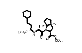 CCCCCCCCOC(=O)[C@@H]1C[C@@H]2CCC[C@@H]2N1C(=O)[C@H](C)N[C@@H](CCC1CCCCC1)C(=O)OCC